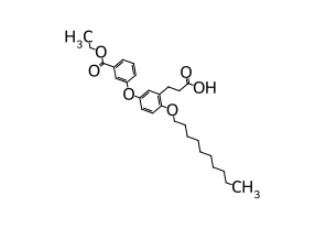 CCCCCCCCCCOc1ccc(Oc2cccc(C(=O)OCC)c2)cc1CCC(=O)O